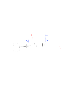 Cc1ccc2c(c1)CN(C(=O)[C@@]1(C(C)C)CC[C@@H](NC3CCOCC3)C1)CO2